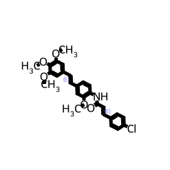 COc1cc(/C=C/c2cc(OC)c(OC)c(OC)c2)ccc1NC(=O)/C=C/c1ccc(Cl)cc1